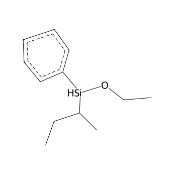 CCO[SiH](c1ccccc1)C(C)CC